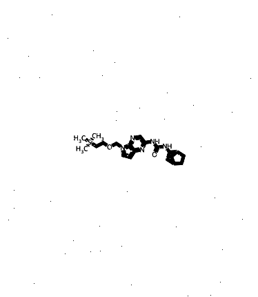 C[Si](C)(C)CCOCn1ccc2nc(NC(=O)NC3CC4CCC3C4)cnc21